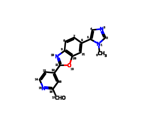 Cn1cncc1-c1ccc2nc(-c3ccnc(C=O)c3)oc2c1